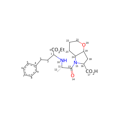 CCOC(=O)C(CCc1ccccc1)N[C@@H](C)C(=O)N1C(C(=O)O)CC2OCCCC21